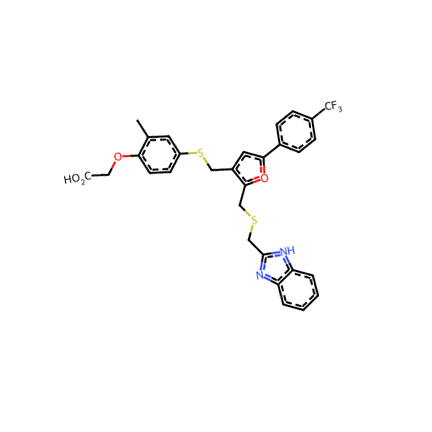 Cc1cc(SCc2cc(-c3ccc(C(F)(F)F)cc3)oc2CSCc2nc3ccccc3[nH]2)ccc1OCC(=O)O